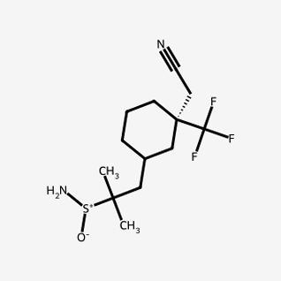 CC(C)(CC1CCC[C@@](CC#N)(C(F)(F)F)C1)[S+](N)[O-]